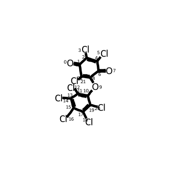 O=C1C(Cl)=C(Cl)C(=O)C(Oc2c(Cl)c(Cl)c(Cl)c(Cl)c2Cl)=C1Cl